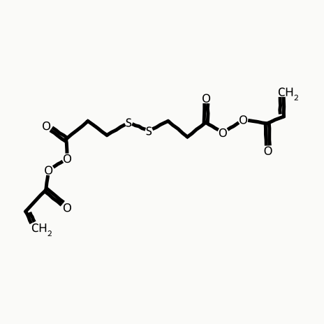 C=CC(=O)OOC(=O)CCSSCCC(=O)OOC(=O)C=C